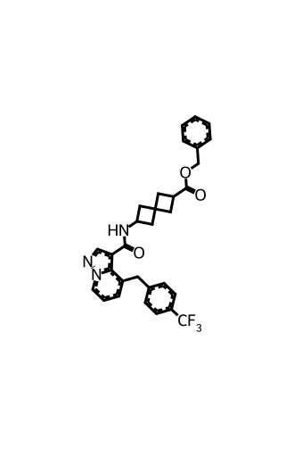 O=C(NC1CC2(C1)CC(C(=O)OCc1ccccc1)C2)c1cnn2cccc(Cc3ccc(C(F)(F)F)cc3)c12